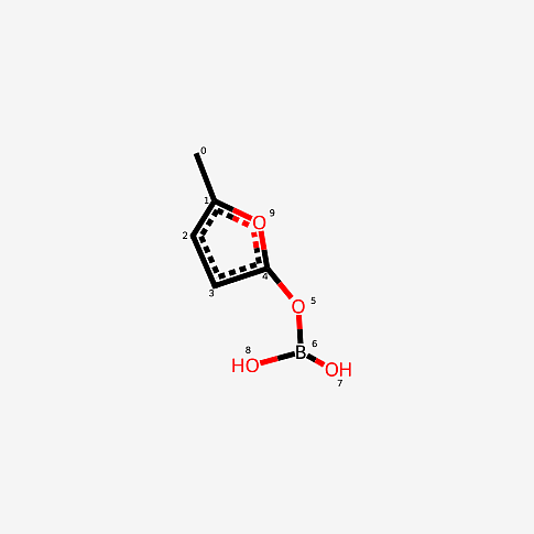 Cc1ccc(OB(O)O)o1